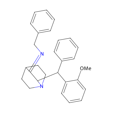 COc1ccccc1C(c1ccccc1)C1C(=NCc2ccccc2)C2CCN1CC2